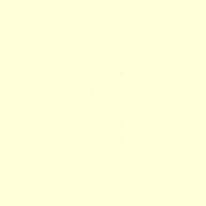 CC1(Cn2cnc3ccc(C#N)cc32)CCCC2(CN(Cc3cn(-c4ccccc4)nn3)C(=O)O2)C1